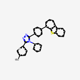 CC(C)(C)c1ccc(-c2nnc(-c3ccc(-c4cccc5c4sc4ccccc45)cc3)n2-c2ccccc2)cc1